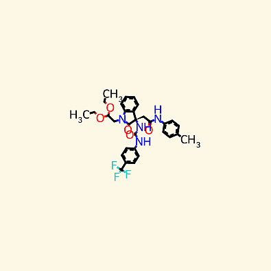 CCOC(CN1C(=O)[C@@](CC(=O)Nc2ccc(C)cc2)(NC(=O)Nc2ccc(C(F)(F)F)cc2)c2ccccc21)OCC